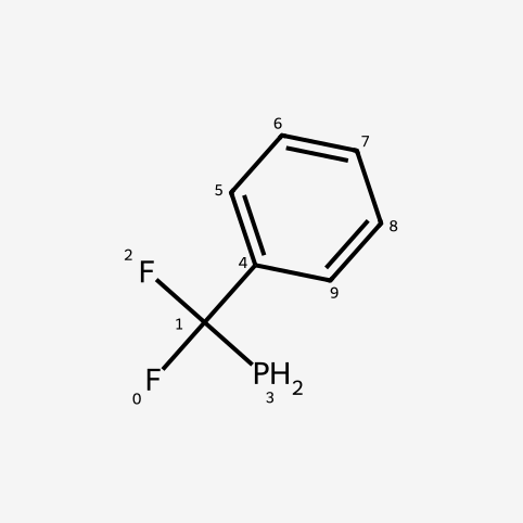 FC(F)(P)c1ccccc1